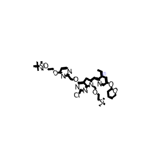 C/C=c1/cc(OC2CCCCO2)cnc1=CC1Cc2c(OCc3nccc(OCCO[Si](C)(C)C(C)(C)C)n3)nc(Cl)nc2N1COCC[Si](C)(C)C